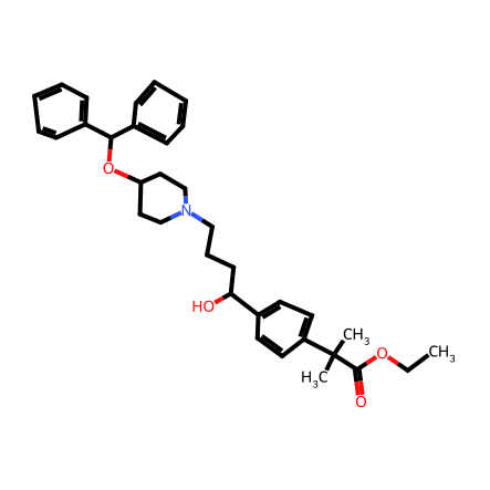 CCOC(=O)C(C)(C)c1ccc(C(O)CCCN2CCC(OC(c3ccccc3)c3ccccc3)CC2)cc1